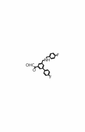 O=CC(=O)c1cc(CNCc2ccc(F)cc2)cc(-c2ccc(F)cc2)c1